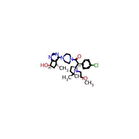 COCCN1[C@H]([C@@H](C(=O)N2CCN(c3ncnc4c3[C@H](C)C[C@H]4O)CC2)c2ccc(Cl)cc2)CCC1(C)C